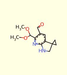 COC(OC)c1nc2c(cc1C=O)C1(CC1)CN2